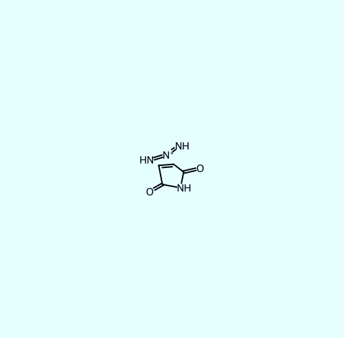 N=[N+]=N.O=C1C=CC(=O)N1